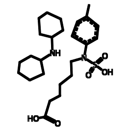 C1CCC(NC2CCCCC2)CC1.Cc1ccc(N(CCCCCC(=O)O)S(=O)(=O)O)cc1